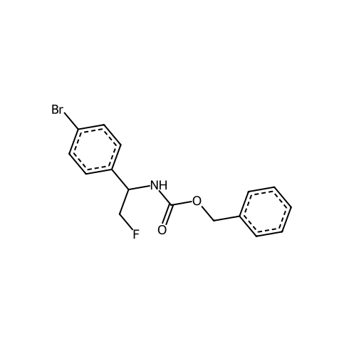 O=C(NC(CF)c1ccc(Br)cc1)OCc1ccccc1